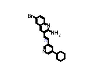 Nc1nc2ccc(Br)cc2cc1/C=C/c1cncc(C2=CCCCC2)c1